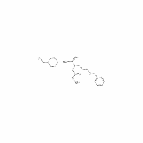 CC=C(C#C[C@H]1CC[C@H](CC(C)C)CC1)C(CCCOCc1ccccc1)CC(=O)OC(C)(C)C